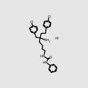 I.NC(CCCCNC(=O)Nc1ccccc1)(CCc1ccc(Cl)cc1)Cc1ccc(Cl)cc1